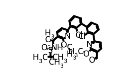 COc1nc(-c2cccc(-c3cccc(-c4ccc([C@H](C)N[S+]([O-])C(C)(C)C)c(OC)n4)c3Cl)c2Cl)ccc1C=O